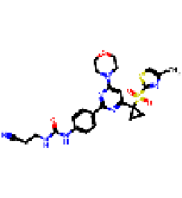 Cc1csc(S(=O)(=O)C2(c3cc(N4CCOCC4)nc(-c4ccc(NC(=O)NCCC#N)cc4)n3)CC2)n1